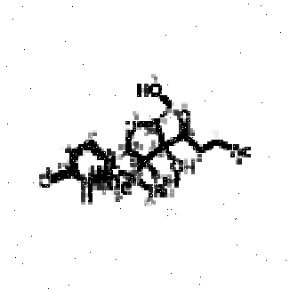 CC(=O)CCC(=O)[C@@]1(O)[C@@H](CO)O[C@@H](n2ccc(=O)[nH]c2=O)[C@@]1(O)[Si](C)(C)C(C)(C)C